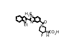 CCn1c(-c2nc3cc(C(=O)N4CC[C@H](F)[C@H](NC(=O)O)C4)ccc3n2C)cc2ccccc21